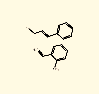 C=Cc1ccccc1C.ClCC=Cc1ccccc1